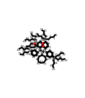 CCCC[Si](CCCC)(CCCC)c1ccc(P(c2ccc([Si](CCCC)(CCCC)CCCC)cc2)N(C2CCCCCCC2)P(c2cccc([Si](CCCC)(CCCC)CCCC)c2)c2cccc([Si](CCCC)(CCCC)CCCC)c2)cc1